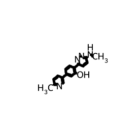 CNc1ccc(-c2ccc(-c3ccc(C)nc3)cc2O)nn1